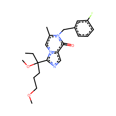 CCC(CCCOC)(OC)c1ncc2c(=O)n(Cc3cccc(F)c3)c(C)cn12